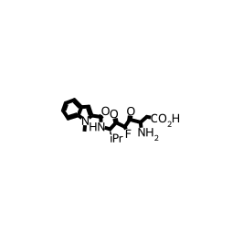 CC(C)[C@H](NC(=O)c1cc2ccccc2n1C)C(=O)C(F)C(=O)C(N)CC(=O)O